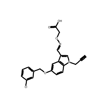 C#CCn1cc(/C=N/OCC(=O)O)c2cc(OCc3cccc(Cl)c3)ccc21